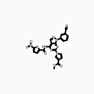 COC(=O)c1ccn(-c2nc(NC(=O)c3ccc([N+](=O)[O-])s3)c3cnn(-c4cccc(C#N)c4)c3n2)c1